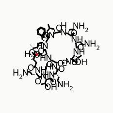 CCC[C@@H](C)OC(=O)CCC(=O)N[C@@H](CCN)C(=O)N[C@H](C(=O)N[C@@H](CCN)C(=O)N[C@H]1CCNC(=O)[C@H](C(C)O)NC(=O)[C@H](CCN)NC(=O)[C@H](CCN)NC(=O)[C@H](CC(C)C)NC(=O)[C@@H](Cc2ccccc2)NC(=O)[C@H](CCN)NC1=O)C(C)O